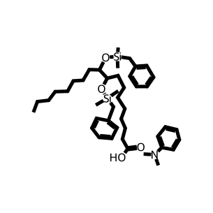 CCCCCCCCC(O[Si](C)(C)Cc1ccccc1)C(CCCCCCCC(=O)O)O[Si](C)(C)Cc1ccccc1.CN(C)c1ccccc1